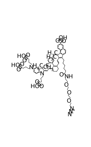 CC1(C)C(/C=C/C2=C(c3ccccc3F)C(=C/C=C3/N(CCCS(=O)(=O)O)c4ccc(N(CCCS(=O)(=O)O)CCCS(=O)(=O)O)cc4C3(C)C)/CCC2)=C(CCCCCC(=O)NCCOCCOCCOCCN=[N+]=[N-])c2ccc3cc(S(=O)(=O)O)ccc3c21